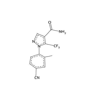 Cc1cc(C#N)ccc1-n1ncc(C(N)=O)c1C(F)(F)F